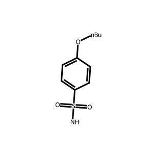 CCCCOc1ccc(S([NH])(=O)=O)cc1